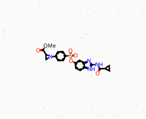 COC(=O)C1CN1c1ccc(S(=O)(=O)Oc2ccc3[nH]c(NC(=O)C4CC4)nc3c2)cc1